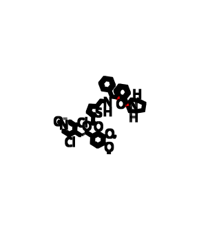 COc1ccc([C@H](Cc2c(Cl)c[n+]([O-])cc2Cl)OC(=O)c2ccc(CNC(C(=O)OC3C[C@H]4CC[C@H](C3)N4Cc3ccccc3)c3ccccc3)s2)cc1OC